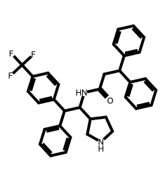 O=C(CC(c1ccccc1)c1ccccc1)NC(C1CCNC1)C(c1ccccc1)c1ccc(C(F)(F)F)cc1